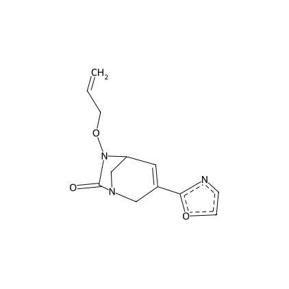 C=CCON1C(=O)N2CC(c3ncco3)=CC1C2